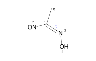 C/C(N=O)=N/O